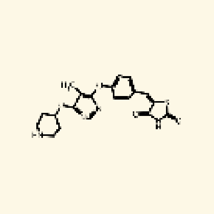 Cc1c(Oc2ccc(C=C3SC(=O)NC3=O)cc2)ncnc1OC1CCNCC1